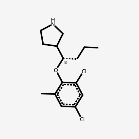 CCC[C@H](Oc1c(C)cc(Cl)cc1Cl)C1CCNC1